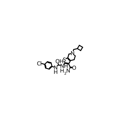 NC(=O)c1c(NC(O)Nc2ccc(Cl)cc2)sc2c1CCN(CC1CCC1)C2